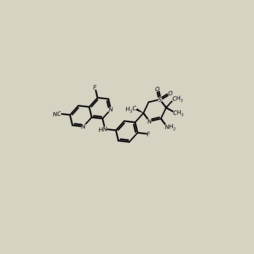 CC1(C)C(N)=N[C@](C)(c2cc(Nc3ncc(F)c4cc(C#N)cnc34)ccc2F)CS1(=O)=O